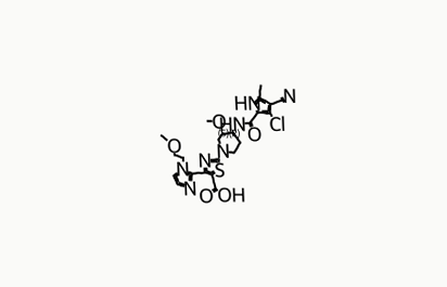 COCCn1ccnc1-c1nc(N2CC[C@@H](NC(=O)c3[nH]c(C)c(C#N)c3Cl)[C@@H](OC)C2)sc1C(=O)O